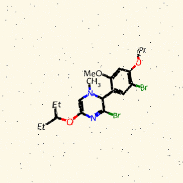 CCC(CC)OC1=CN(C)C(c2cc(Br)c(OC(C)C)cc2OC)C(Br)=N1